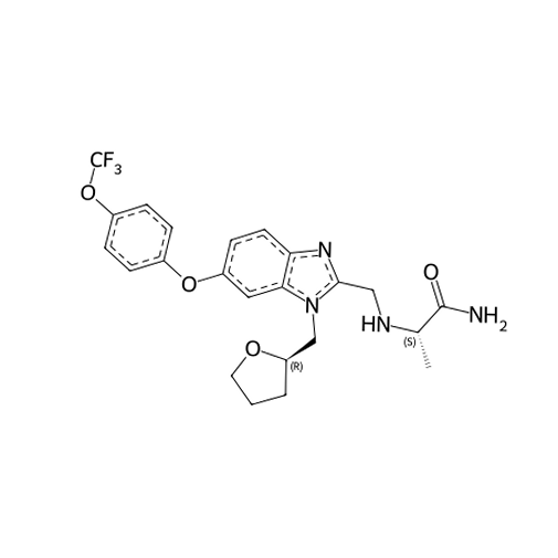 C[C@H](NCc1nc2ccc(Oc3ccc(OC(F)(F)F)cc3)cc2n1C[C@H]1CCCO1)C(N)=O